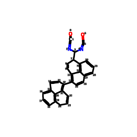 O=C=NC(N=C=O)C1C=Cc2c(-c3ccc4cccc5c4c3C=CC5)ccc3cccc1c23